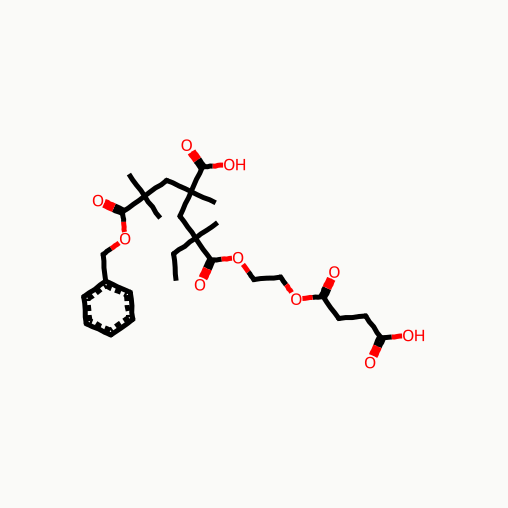 CCC(C)(CC(C)(CC(C)(C)C(=O)OCc1ccccc1)C(=O)O)C(=O)OCCOC(=O)CCC(=O)O